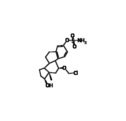 C[C@]12C[C@H](OCCl)C3c4ccc(OS(N)(=O)=O)cc4CCC3C1CC[C@@H]2O